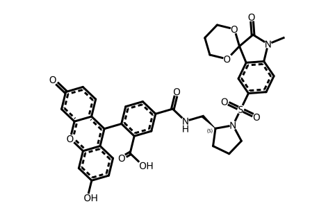 CN1C(=O)C2(OCCCO2)c2cc(S(=O)(=O)N3CCC[C@H]3CNC(=O)c3ccc(-c4c5ccc(=O)cc-5oc5cc(O)ccc45)c(C(=O)O)c3)ccc21